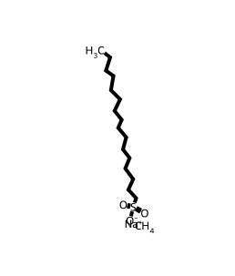 C.CCCCCCCCCCCCCCCCS(=O)(=O)[O-].[Na+]